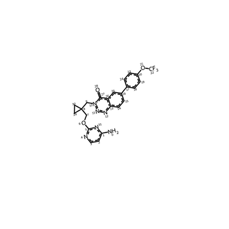 Nc1ccnc(OCC2(Cn3nnc4ccc(-c5ccc(OC(F)(F)F)cc5)cc4c3=O)CC2)n1